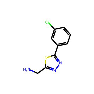 NCc1nnc(-c2cccc(Cl)c2)s1